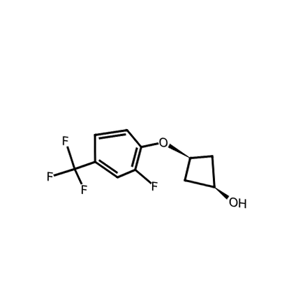 O[C@H]1C[C@@H](Oc2ccc(C(F)(F)F)cc2F)C1